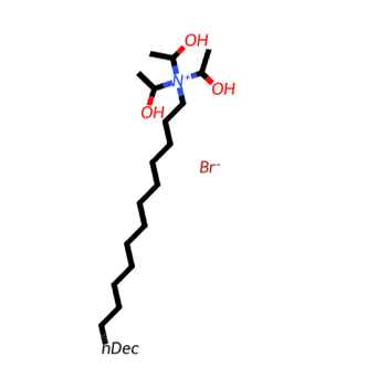 CCCCCCCCCCCCCCCCCCCCCC[N+](C(C)O)(C(C)O)C(C)O.[Br-]